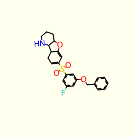 O=S(=O)(C1=CCC2C(=C1)OC1CCCNC12)c1cc(F)cc(OCc2ccccc2)c1